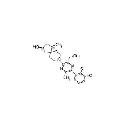 Cc1nc(N2CCC3(CC2)C[C@@H](O)C[C@H]3C)c(CO)nc1-c1cccc(Cl)c1Cl